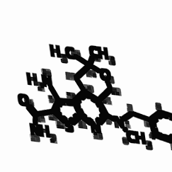 CN(Cc1ccccc1)c1nc2sc(C(N)=O)c(N)c2c2c1COC(C)(C)C2